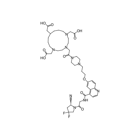 N#C[C@@H]1CC(F)(F)CN1C(=O)CNC(=O)c1ccnc2ccc(OCCCN3CCN(C(=O)CN4CCN(CC(=O)O)CCCC(CC(=O)O)CCCN(CC(=O)O)CC4)CC3)cc12